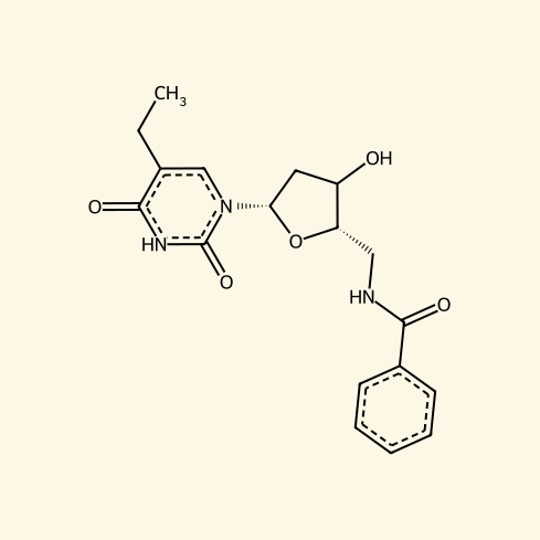 CCc1cn([C@@H]2CC(O)[C@H](CNC(=O)c3ccccc3)O2)c(=O)[nH]c1=O